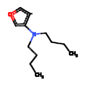 CCCCN(CCCC)c1[c]coc1